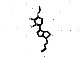 C=CCCC1CCC2C(c3ccc(OCC)c(F)c3F)=CCC12